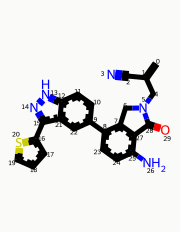 C=C(C#N)CN1Cc2c(-c3ccc4[nH]nc(-c5cccs5)c4c3)ccc(N)c2C1=O